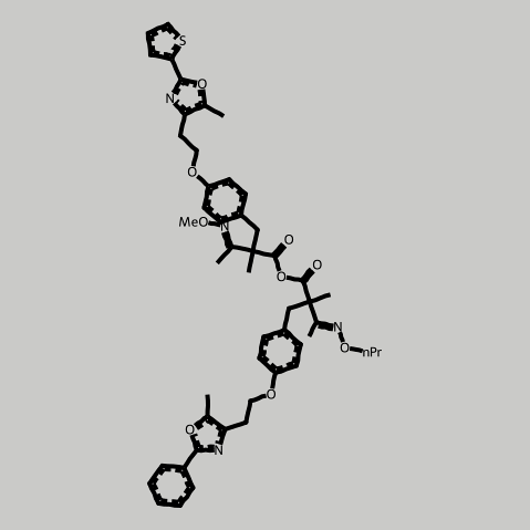 CCCON=C(C)C(C)(Cc1ccc(OCCc2nc(-c3ccccc3)oc2C)cc1)C(=O)OC(=O)C(C)(Cc1ccc(OCCc2nc(-c3cccs3)oc2C)cc1)C(C)=NOC